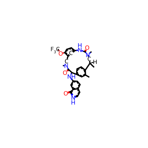 Cc1cc2ccc1[C@@H](C)CN(C)C(=O)Nc1ccc(OC(F)(F)F)c(c1)CN(C)C(=O)C2Nc1ccc2cc[nH]c(=O)c2c1